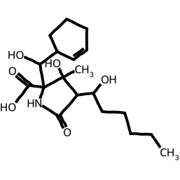 CCCCCC(O)C1C(=O)NC(C(=O)O)(C(O)C2C=CCCC2)C1(C)O